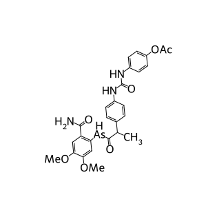 COc1cc([AsH]C(=O)C(C)c2ccc(NC(=O)Nc3ccc(OC(C)=O)cc3)cc2)c(C(N)=O)cc1OC